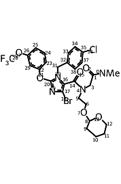 CNC(=O)CN(CCOC1CCCCO1)C(=O)c1c(Br)nc(Oc2cccc(OC(F)(F)F)c2)n1Cc1ccc(Cl)cc1